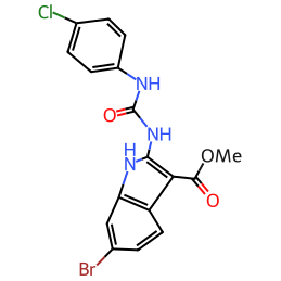 COC(=O)c1c(NC(=O)Nc2ccc(Cl)cc2)[nH]c2cc(Br)ccc12